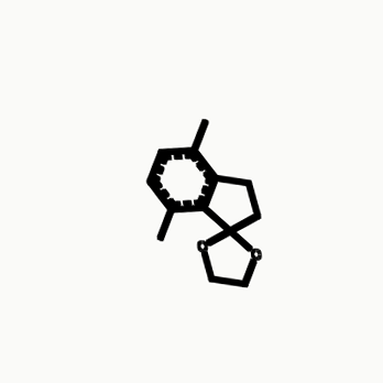 Cc1ccc(C)c2c1CCC21OCCO1